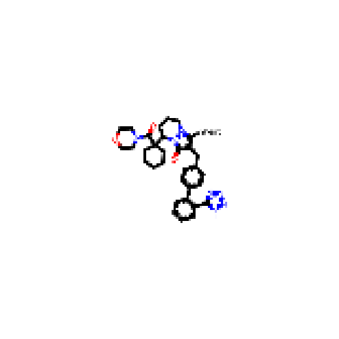 CCCCCc1c(Cc2ccc(-c3ccccc3-c3nnn[nH]3)cc2)c(=O)n2n1CCCC2C1(C(=O)N2CCOCC2)CCCCC1